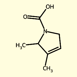 CC1=CCN(C(=O)O)C1C